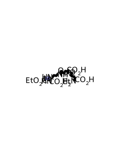 CCOC(=O)/N=C(/NCCCCNC(=O)CCC(NC(=O)CCC(N)C(=O)O)C(=O)O)NC(=O)OCC